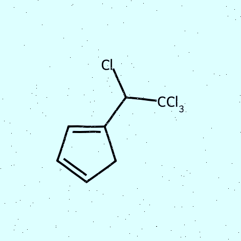 ClC(C1=CC=CC1)C(Cl)(Cl)Cl